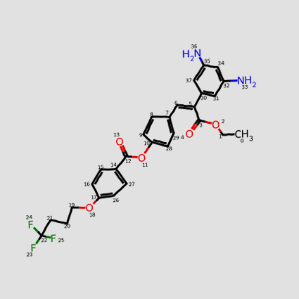 CCOC(=O)C(=Cc1ccc(OC(=O)c2ccc(OCCCC(F)(F)F)cc2)cc1)c1cc(N)cc(N)c1